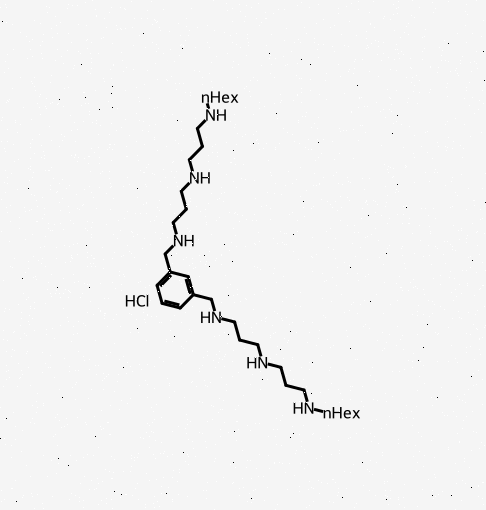 CCCCCCNCCCNCCCNCc1cccc(CNCCCNCCCNCCCCCC)c1.Cl